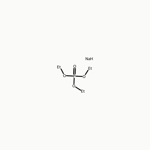 CCOP(=O)(OCC)OCC.[NaH]